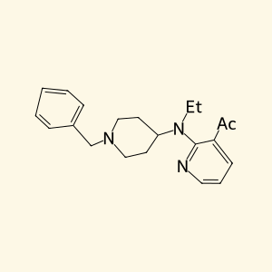 CCN(c1ncccc1C(C)=O)C1CCN(Cc2ccccc2)CC1